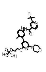 Cc1ccc(NC(=O)c2ccnc(C(C)(C)F)c2)cc1-c1cc(OCCOP(=O)(O)O)nc(N2CCOCC2)c1